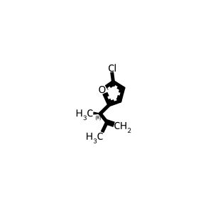 C=C(C)[C@@H](C)c1ccc(Cl)o1